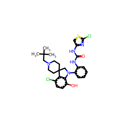 CC(C)(C)CN1CCC2(CC1)CN(c1ccccc1NC(=O)Nc1csc(Cl)n1)c1c(O)ccc(Cl)c12